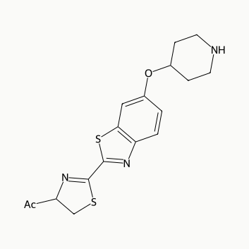 CC(=O)C1CSC(c2nc3ccc(OC4CCNCC4)cc3s2)=N1